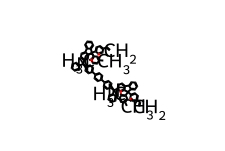 C=Cc1ccc(C2(c3cc(C)ccc3C)c3ccccc3-c3ccc(N(c4ccccc4)c4ccc(-c5ccc(-c6ccc(N(c7ccccc7)c7ccc8c(c7)C(c7ccc(C=C)cc7)(c7cc(C)ccc7C)c7ccccc7-8)cc6)cc5)cc4)cc32)cc1